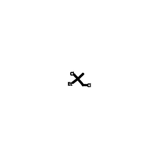 CCC(C)(Cl)[CH]Cl